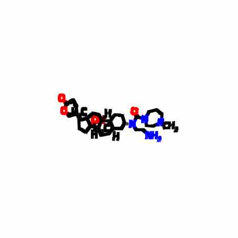 CN1CCCN(C(=O)N(CCN)[C@H]2CC[C@@]3(C)[C@H](CC[C@@H]4[C@@H]3CC[C@]3(C)[C@@H](c5ccc(=O)oc5)CC[C@]43O)C2)CC1